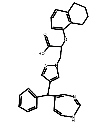 O=C(O)C(Cn1cc(C(C2=CN=CNC=C2)c2ccccc2)cn1)Oc1cccc2c1CCCC2